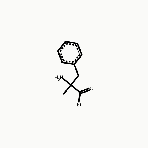 CCC(=O)C(C)(N)Cc1ccccc1